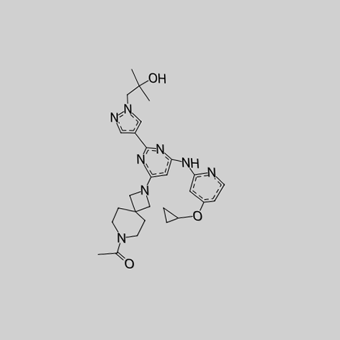 CC(=O)N1CCC2(CC1)CN(c1cc(Nc3cc(OC4CC4)ccn3)nc(-c3cnn(CC(C)(C)O)c3)n1)C2